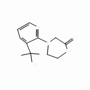 CC(C)(C)c1cccnc1N1CCNC(=O)C1